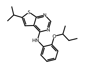 CCC(C)Oc1ccccc1Nc1ncnc2sc(C(C)C)cc12